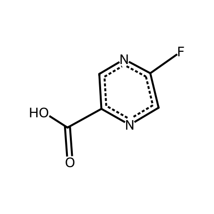 O=C(O)c1cnc(F)cn1